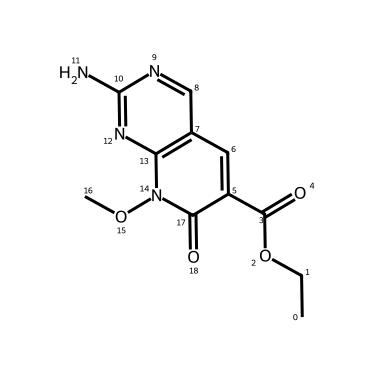 CCOC(=O)c1cc2cnc(N)nc2n(OC)c1=O